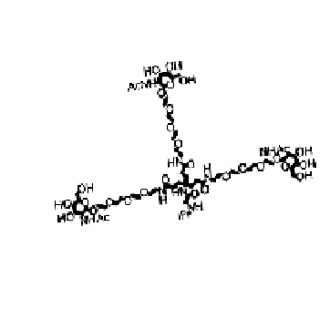 CC(=O)NC1C(OCCOCCOCCOCCNC(=O)CCC(CCC(=O)NCCOCCOCCOCCOC2OC(CO)C(O)C(O)C2NC(C)=O)(CCC(=O)NCCOCCOCCOCCOC2OC(CO)C(O)C(O)C2NC(C)=O)NC(=O)CNC(C)C)OC(CO)C(O)C1O